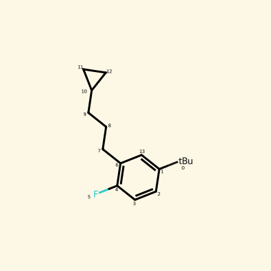 CC(C)(C)c1ccc(F)c(CCCC2CC2)c1